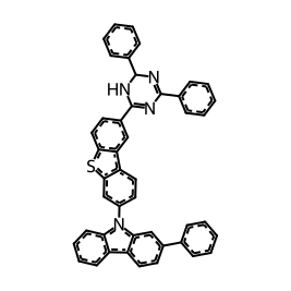 c1ccc(C2=NC(c3ccccc3)NC(c3ccc4sc5cc(-n6c7ccccc7c7ccc(-c8ccccc8)cc76)ccc5c4c3)=N2)cc1